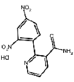 Cl.NC(=O)c1cccnc1-c1ccc([N+](=O)[O-])cc1[N+](=O)[O-]